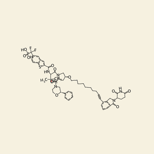 CC(C)(C)C(NC(=O)c1cc2cc(C(F)(F)P(=O)(O)O)ccc2s1)C(=O)N1C[C@@H](OCCCCCCCCC#Cc2cccc3c2CN(C2CCC(=O)NC2=O)C3=O)C[C@H]1C(=O)N1CCO[C@H](c2ccccc2)C1